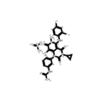 CC(=O)Nc1cccc(-n2c(=O)n(C3CC3)c(=O)c3c(Nc4ccc(I)cc4F)n(C)c(=O)c(C)c32)c1.C[N+](=O)[O-]